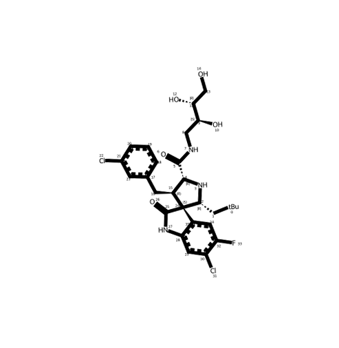 CC(C)(C)C[C@H]1N[C@@H](C(=O)NC[C@H](O)[C@H](O)CO)[C@H](Cc2cccc(Cl)c2)[C@@]12C(=O)Nc1cc(Cl)c(F)cc12